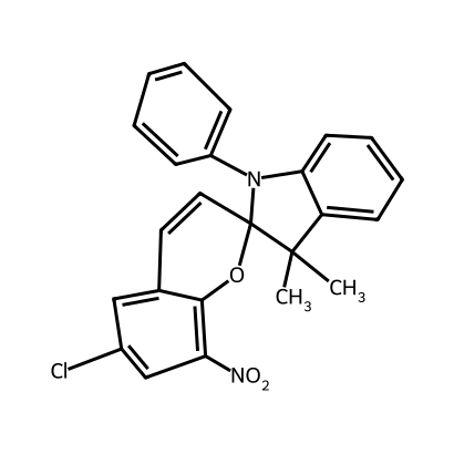 CC1(C)c2ccccc2N(c2ccccc2)C12C=Cc1cc(Cl)cc([N+](=O)[O-])c1O2